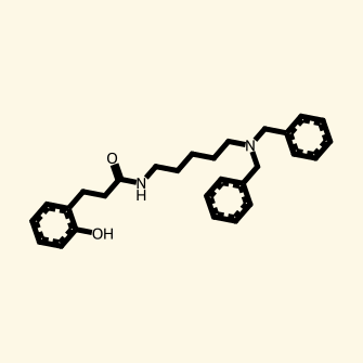 O=C(CCc1ccccc1O)NCCCCCN(Cc1ccccc1)Cc1ccccc1